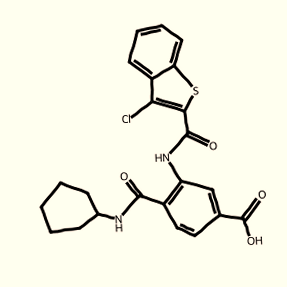 O=C(O)c1ccc(C(=O)NC2CCCCC2)c(NC(=O)c2sc3ccccc3c2Cl)c1